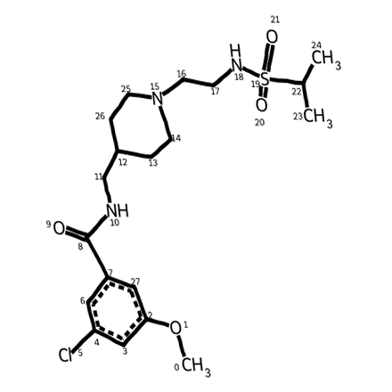 COc1cc(Cl)cc(C(=O)NCC2CCN(CCNS(=O)(=O)C(C)C)CC2)c1